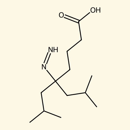 CC(C)CC(CCCC(=O)O)(CC(C)C)N=N